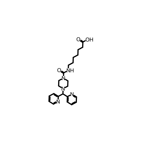 O=C(O)CCCCCCNC(=O)N1CCN(C(c2ccccn2)c2ccccn2)CC1